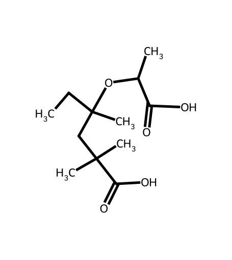 CCC(C)(CC(C)(C)C(=O)O)OC(C)C(=O)O